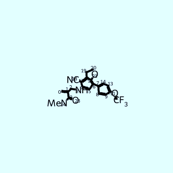 C=C(CNc1cc(-c2ccc(OC(F)(F)F)cc2)c2c(c1C#N)CCO2)C(=O)NC